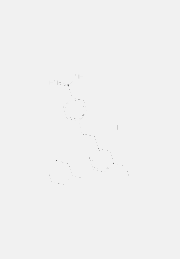 CCOc1cc(OC2CCOCC2)cc([C@H](Nc2ccc(C(=N)N)cc2)C(=O)O)c1